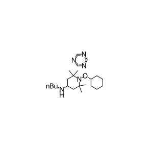 CCCCNC1CC(C)(C)N(OC2CCCCC2)C(C)(C)C1.c1ncncn1